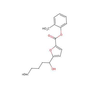 CCCCCCCCCCCCCC(O)c1ccc(C(=O)Oc2ccccc2C(=O)O)o1